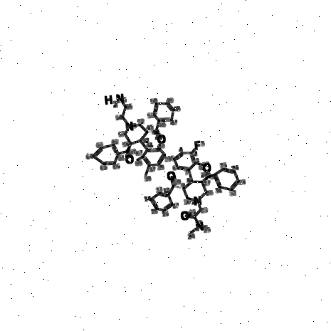 Cc1c(F)cccc1C1[C@@H](C(=O)c2ccccc2)CN(CC(=O)N(C)C)C[C@@H]1C(=O)c1ccccc1.Cc1cccc(C2[C@@H](C(=O)c3ccccc3)CN(CCN)C[C@@H]2C(=O)c2ccccc2)c1C